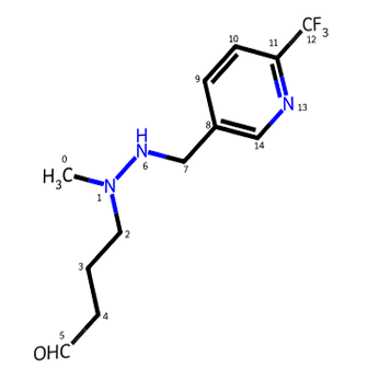 CN(CCCC=O)NCc1ccc(C(F)(F)F)nc1